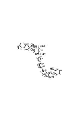 Cc1ncsc1-c1ccc(C(C)(C)NC(=O)[C@@H]2C[C@@H](O)CN2C(=O)[C@@H](c2cc(-c3cnc(N4CCc5[nH]c6nnc(-c7ccccc7O)cc6c5C4)nc3)no2)C(C)C)cc1